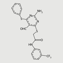 Nc1nc(SCC(=O)Nc2cccc(C(F)(F)F)c2)c(C=O)c(Sc2ccccc2)n1